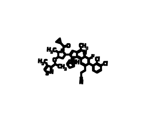 Cc1csnc1C(C)OC1CC(c2cc3c(C)nc4c(F)c(-c5cccc(Cl)c5Cl)c(CCC#N)cc4c3n2C2C3CNC2C3)N(C(=O)C2CC2)C1C